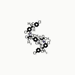 CC(=O)C(/N=N/c1cc(C(=O)Nc2ccc(Cl)cc2C)ccc1Cl)C(=O)Nc1cc(C)c(NC(=O)C(/N=N/c2cc(C(=O)Nc3ccc(Cl)cc3C)ccc2Cl)C(C)=O)cc1C